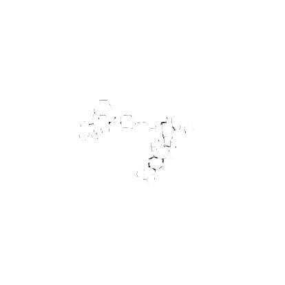 CC(C)(C)OC(=O)N1CCCCC1C(=O)N1CCC(CCn2cnc(N)c3nc(Sc4cc5c(cc4Br)OCO5)nc2-3)CC1